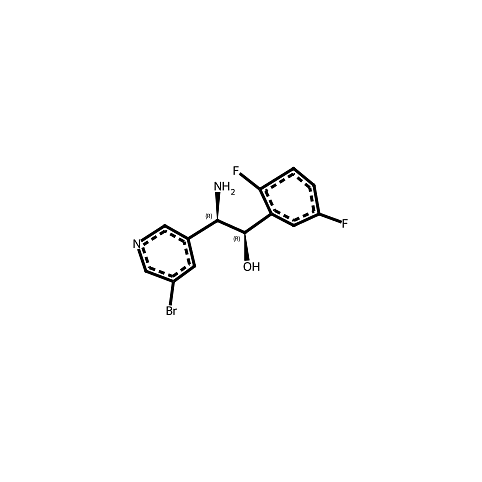 N[C@H](c1cncc(Br)c1)[C@H](O)c1cc(F)ccc1F